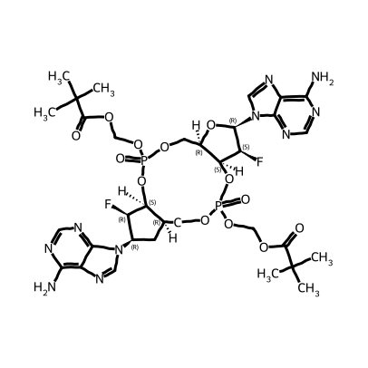 CC(C)(C)C(=O)OCOP1(=O)OC[C@H]2C[C@@H](n3cnc4c(N)ncnc43)[C@@H](F)[C@H]2OP(=O)(OCOC(=O)C(C)(C)C)OC[C@H]2O[C@@H](n3cnc4c(N)ncnc43)[C@@H](F)[C@H]2O1